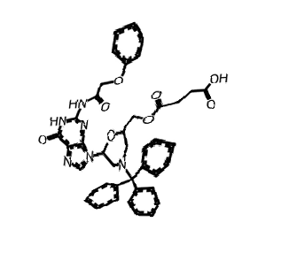 O=C(O)CCC(=O)OCC1CN(C(c2ccccc2)(c2ccccc2)c2ccccc2)CC(n2cnc3c(=O)[nH]c(NC(=O)COc4ccccc4)nc32)O1